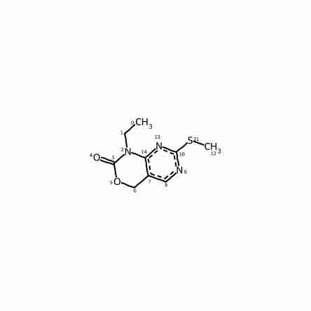 CCN1C(=O)OCc2cnc(SC)nc21